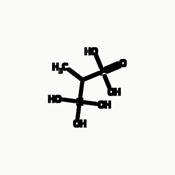 CC([Si](O)(O)O)P(=O)(O)O